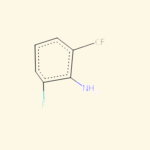 Nc1c(F)c[c]cc1C(F)(F)F